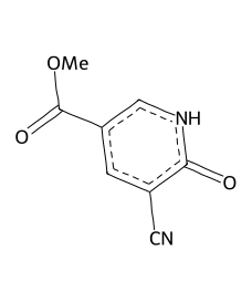 COC(=O)c1c[nH]c(=O)c(C#N)c1